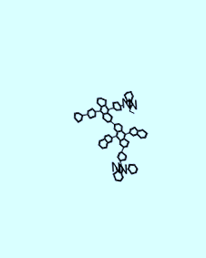 CCc1nc2ccccc2n1-c1ccc(-c2c3ccccc3c(-c3ccc(-c4ccccc4)cc3)c3ccc(-c4ccc5c(-c6ccc7ccccc7c6)c6ccc(-c7ccc(-c8nc9ccccc9n8-c8ccccc8)cc7)cc6c(-c6ccc7ccccc7c6)c5c4)cc23)cc1